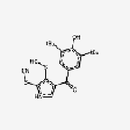 CC(C)(C)c1cc(C(=O)c2c[nH]c(SC#N)c2SC#N)cc(C(C)(C)C)c1O